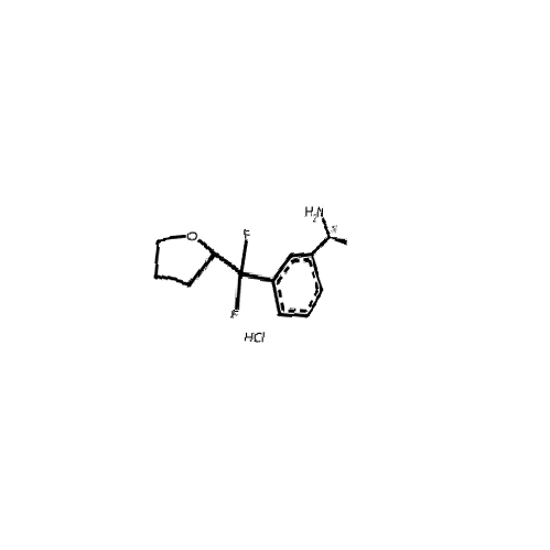 C[C@H](N)c1cccc(C(F)(F)C2CCCO2)c1.Cl